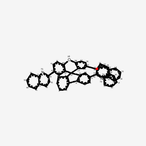 c1ccc2c(c1)-c1ccc(-c3ccc4ccccc4n3)cc1C21c2cc(-c3ccc4ccccc4n3)ccc2Oc2ccc(-c3ccc4ccccc4n3)cc21